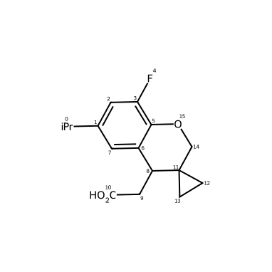 CC(C)c1cc(F)c2c(c1)C(CC(=O)O)C1(CC1)CO2